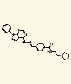 O=C(NCCN1CCCC1)c1ccc(/C=N/Nc2ncnc3c2cnn3-c2ccccc2)cc1